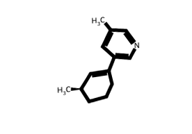 Cc1cncc(C2=C[C@H](C)CCC2)c1